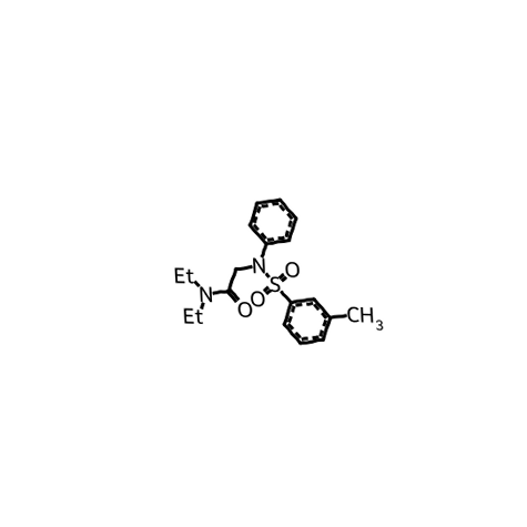 CCN(CC)C(=O)CN(c1ccccc1)S(=O)(=O)c1cccc(C)c1